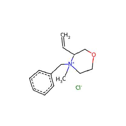 C=CC1COCC[N+]1(C)Cc1ccccc1.[Cl-]